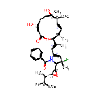 CC[C@H](OC)C(C)[C@H]1O[C@@H]1C(NC(=O)c1ccccc1)C(C)(F)/C=C/C=C(\C)C1OC(=O)C[C@H](O)CC[C@@](C)(O)[C@@H](OC(C)=O)/C=C/[C@@H]1C